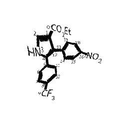 CCOC(=O)c1c[nH]c(-c2ccc(C(F)(F)F)cc2)c1-c1ccc([N+](=O)[O-])cc1